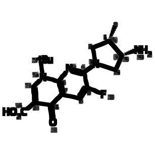 C[C@H]1CN(c2nc3c(cc2F)c(=O)c(C(=O)O)cn3C(C)(C)C)C[C@H]1N